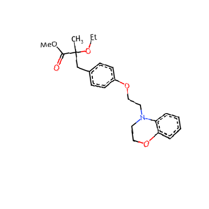 CCOC(C)(Cc1ccc(OCCN2CCOc3ccccc32)cc1)C(=O)OC